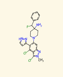 Cn1nc2cc(N3CCC(N)(C(F)c4ccccc4)CC3)c(-c3cc[nH]n3)c(Cl)c2c1Cl